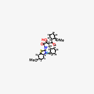 COc1ccc2nc(N3C(=O)C(O)=C(C(=O)c4ccccc4OC)C3c3ccccc3F)sc2c1